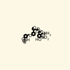 CS(=O)(=O)Nc1cccc(COc2cccc(-c3ccoc3C(=O)OC(=O)c3ccc(O)c([N+](=O)[O-])c3C(=O)NN)c2)c1